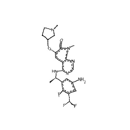 C[C@@H](Nc1ncnc2c1cc(OC1CCN(C)C1)c(=O)n2C)c1cc(N)cc(C(F)F)c1F